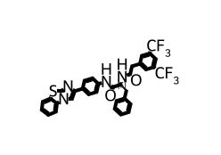 O=C(Cc1cc(C(F)(F)F)cc(C(F)(F)F)c1)N[C@@H](Cc1ccccc1)C(=O)Nc1ccc(-c2cn3c(n2)sc2ccccc23)cc1